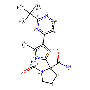 Cc1nc(C2(C(N)=O)CCCN2C(N)=O)sc1-c1ccnc(C(C)(C)C)n1